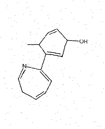 CC1C=CC(O)C=C1C1=CC=CCC=N1